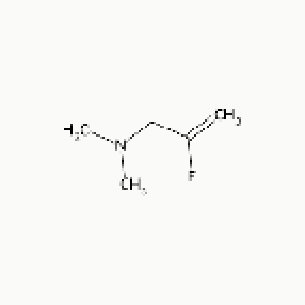 C=C(F)CN(C)C